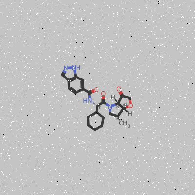 C[C@H]1CN(C(=O)[C@@H](NC(=O)c2ccc3cn[nH]c3c2)C2CCCCC2)[C@@H]2C(=O)CO[C@@H]21